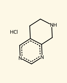 Cl.c1ncc2c(n1)CNCC2